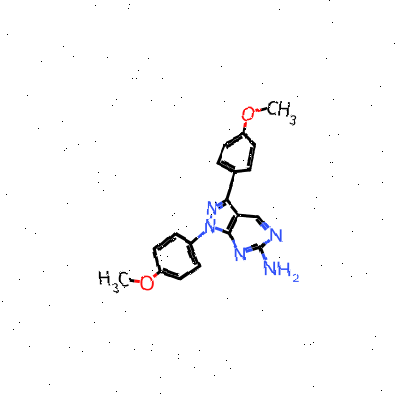 COc1ccc(-c2nn(-c3ccc(OC)cc3)c3nc(N)ncc23)cc1